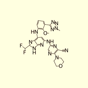 COc1c(Nc2cc(Nc3cnc(N4CCOCC4)c(C#N)n3)nc3[nH]c(C(F)F)nc23)cccc1-c1nnn(C)n1